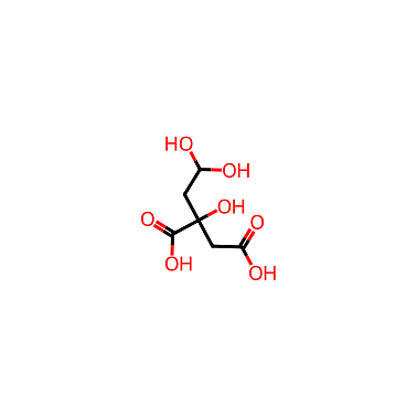 O=C(O)CC(O)(CC(O)O)C(=O)O